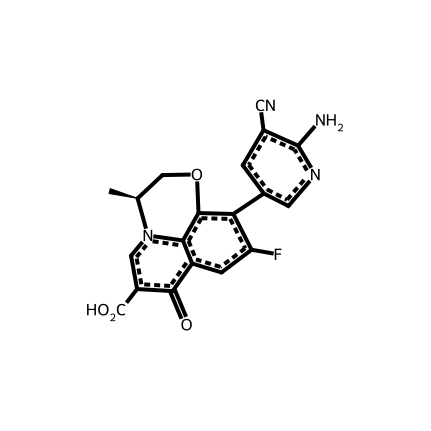 C[C@H]1COc2c(-c3cnc(N)c(C#N)c3)c(F)cc3c(=O)c(C(=O)O)cn1c23